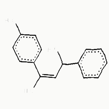 CC(=CC(C)c1ccccc1)c1ccc(C)cc1